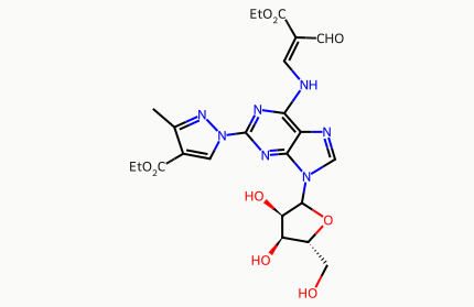 CCOC(=O)/C(C=O)=C/Nc1nc(-n2cc(C(=O)OCC)c(C)n2)nc2c1ncn2C1O[C@H](CO)[C@@H](O)[C@H]1O